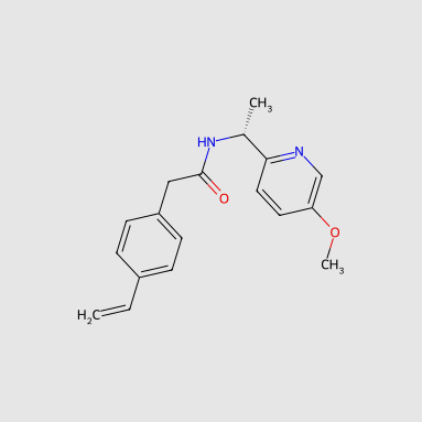 C=Cc1ccc(CC(=O)N[C@H](C)c2ccc(OC)cn2)cc1